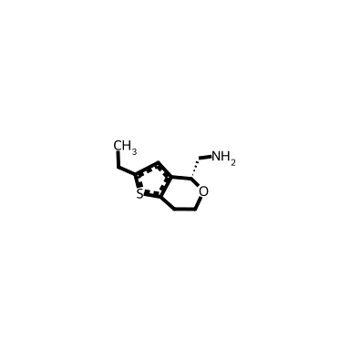 CCc1cc2c(s1)CCO[C@H]2CN